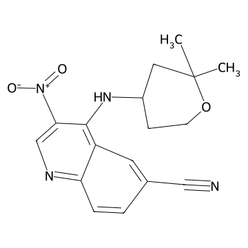 CC1(C)CC(Nc2c([N+](=O)[O-])cnc3ccc(C#N)cc23)CCO1